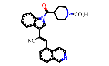 N#C/C(=C\c1cccc2cnccc12)c1cn(C(=O)C2CCN(C(=O)O)CC2)c2ccccc12